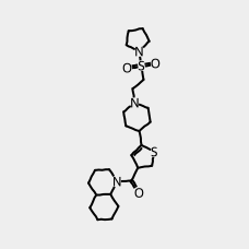 O=C(C1C=C(C2CCN(CCS(=O)(=O)N3CCCC3)CC2)SC1)N1CCCC2CCCCC21